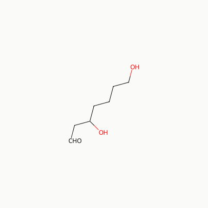 O=CCC(O)CCCCO